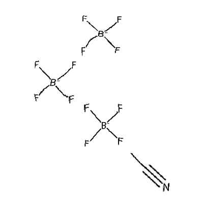 CC#N.F[B-](F)(F)F.F[B-](F)(F)F.F[B-](F)(F)F